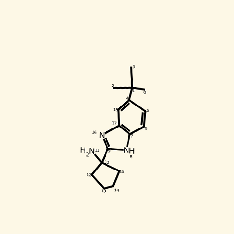 CC(C)(C)c1ccc2[nH]c(C3(N)CCCC3)nc2c1